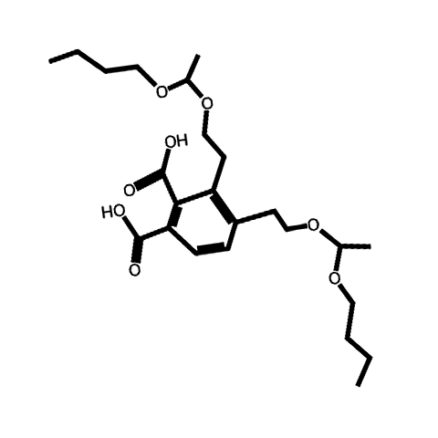 CCCCOC(C)OCCc1ccc(C(=O)O)c(C(=O)O)c1CCOC(C)OCCCC